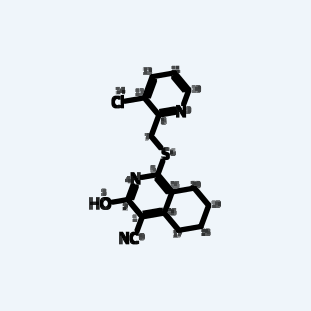 N#Cc1c(O)nc(SCc2ncccc2Cl)c2c1CCCC2